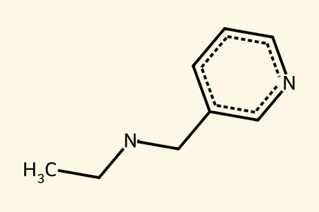 CC[N]Cc1cccnc1